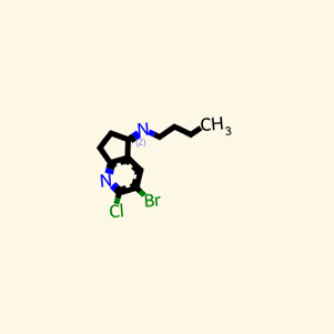 CCCC/N=C1/CCc2nc(Cl)c(Br)cc21